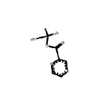 CCCC(C)(CCC)OC(=O)c1cnccn1